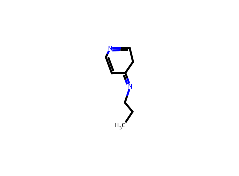 CCCN=C1C=CN=CC1